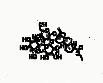 C=C1C[C@@]23CC[C@H]4[C@@](C)(CCC[C@@]4(C)C(=O)OCC)[C@@H]2CC[C@]1(O[C@@H]1O[C@H](CO)[C@@H](O)[C@H](O[C@@H]2O[C@H](CO)[C@@H](O)[C@H](O)[C@H]2O)[C@H]1O[C@@H]1O[C@H](CO)[C@@H](O)[C@H](O)[C@H]1O)C3